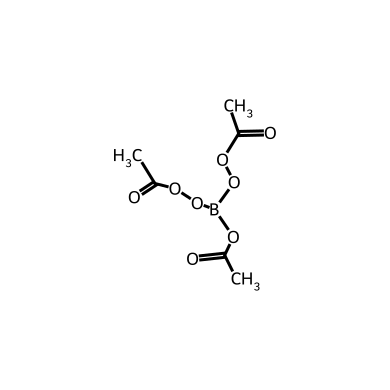 CC(=O)OOB(OOC(C)=O)OC(C)=O